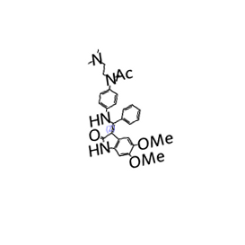 COc1cc2c(cc1OC)/C(=C(/Nc1ccc(N(CCN(C)C)C(C)=O)cc1)c1ccccc1)C(=O)N2